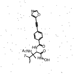 CC(=O)NC(C)(C(F)F)[C@H](NC(=O)c1ccc(C#Cc2cnco2)cc1)C(=O)NO